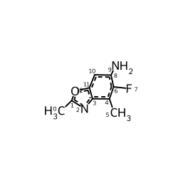 Cc1nc2c(C)c(F)c(N)cc2o1